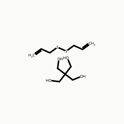 C=CCSSCC=C.OCC(CO)(CO)CO